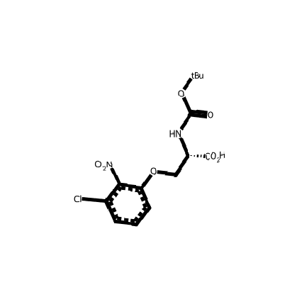 CC(C)(C)OC(=O)N[C@@H](COc1cccc(Cl)c1[N+](=O)[O-])C(=O)O